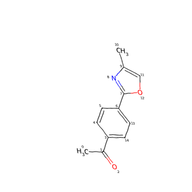 CC(=O)c1ccc(-c2nc(C)co2)cc1